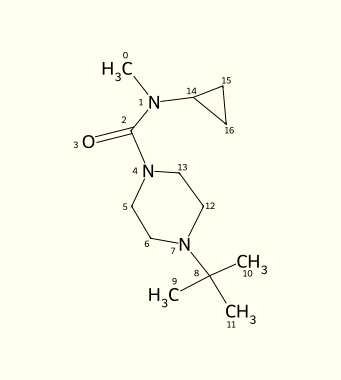 CN(C(=O)N1CCN(C(C)(C)C)CC1)C1CC1